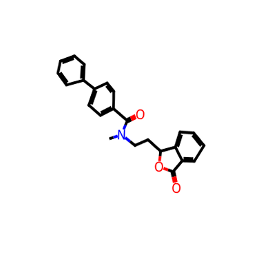 CN(CCC1OC(=O)c2ccccc21)C(=O)c1ccc(-c2ccccc2)cc1